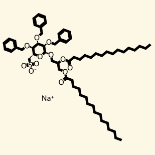 CCCCCCCCCCCCCCCC(=O)OCC(CO[C@H]1O[C@H](CS(=O)(=O)[O-])[C@@H](OCc2ccccc2)[C@H](OCc2ccccc2)[C@H]1OCc1ccccc1)OC(=O)CCCCCCCCCCCCCCC.[Na+]